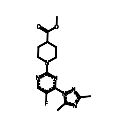 COC(=O)C1CCN(c2ncc(F)c(-n3nc(C)nc3C)n2)CC1